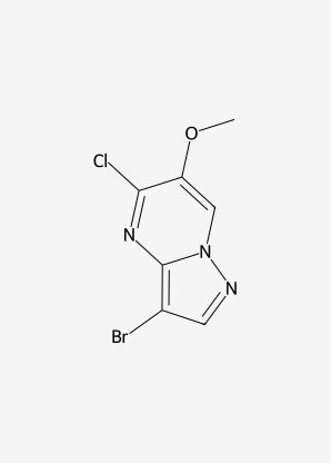 COc1cn2ncc(Br)c2nc1Cl